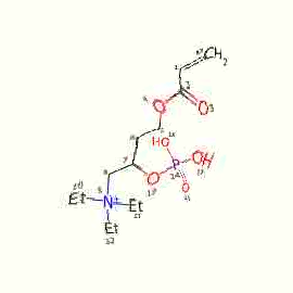 C=CC(=O)OCCC(C[N+](CC)(CC)CC)OP(=O)(O)O